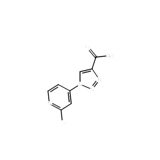 NC(=O)c1cn(-c2ccnc(C(F)(F)F)c2)nn1